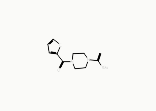 C=C(N1CCN(C(=O)c2ccco2)CC1)C(C)(C)C